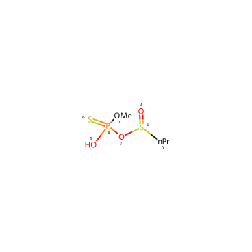 CCCS(=O)OP(O)(=S)OC